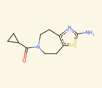 Nc1nc2c(s1)CCN(C(=O)C1CC1)CC2